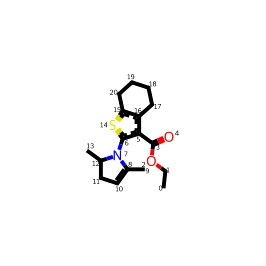 CCOC(=O)c1c(N2C(C)=CCC2C)sc2c1CCCC2